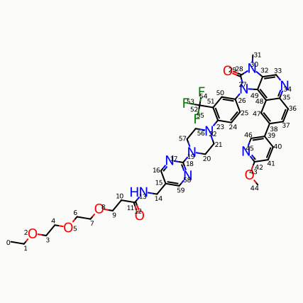 CCOCCOCCOCCC(=O)NCc1cnc(N2CCN(c3ccc(-n4c(=O)n(C)c5cnc6ccc(-c7ccc(OC)nc7)cc6c54)cc3C(F)(F)F)CC2)nc1